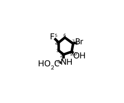 O=C(O)NC1CC(F)CC(Br)C1O